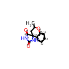 CC1CC2(NC(=O)NC2=O)c2ccccc2O1